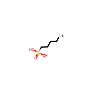 CCC[CH]CP(=O)(O)O